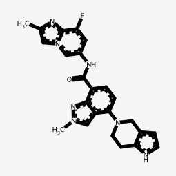 Cc1cn2cc(NC(=O)c3ccc(N4CCc5[nH]ccc5C4)c4cn(C)nc34)cc(F)c2n1